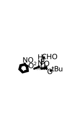 CC(C)(C)OC(=O)C[C@@H](COc1ccccc1[N+](=O)[O-])NBC=O